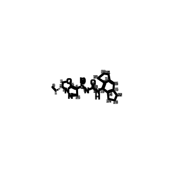 CC[C@@H]1COc2c(/[SH](=O)=N/C(=O)Nc3c4c(cc5c3CCC5)CCC4)cnn21